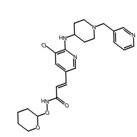 O=C(/C=C/c1cnc(NC2CCN(Cc3cccnc3)CC2)c(Cl)c1)NOC1CCCCO1